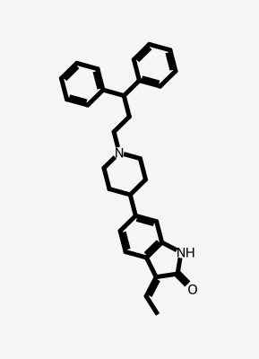 CC=C1C(=O)Nc2cc(C3CCN(CCC(c4ccccc4)c4ccccc4)CC3)ccc21